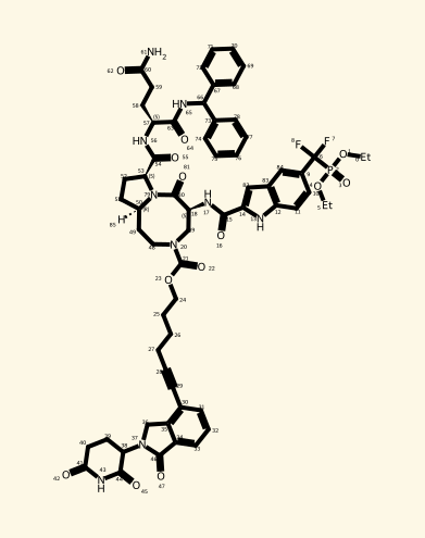 CCOP(=O)(OCC)C(F)(F)c1ccc2[nH]c(C(=O)N[C@H]3CN(C(=O)OCCCCC#Cc4cccc5c4CN(C4CCC(=O)NC4=O)C5=O)CC[C@H]4CC[C@@H](C(=O)N[C@@H](CCC(N)=O)C(=O)NC(c5ccccc5)c5ccccc5)N4C3=O)cc2c1